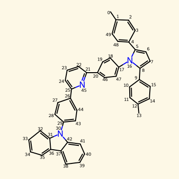 Cc1ccc(-c2ccc(-c3ccc(C)cc3)n2-c2ccc(-c3cccc(-c4ccc(-n5c6ccccc6c6ccccc65)cc4)n3)cc2)cc1